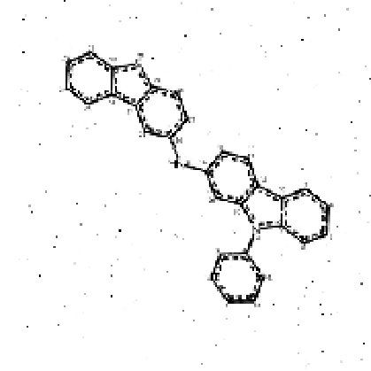 c1ccc(-n2c3ccccc3c3ccc(Nc4ccc5sc6ccccc6c5c4)cc32)cc1